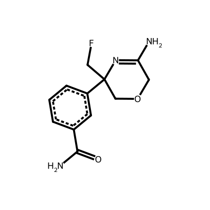 NC(=O)c1cccc(C2(CF)COCC(N)=N2)c1